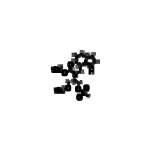 CC(C)(C)OC[C@@H](COS(C)(=O)=O)N(Cc1cccc2cc[nH]c12)C(=O)OC(C)(C)C